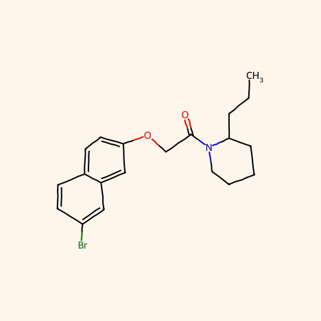 CCCC1CCCCN1C(=O)COc1ccc2ccc(Br)cc2c1